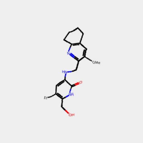 CCc1cc(NCc2nc3c(cc2OC)CCCC3)c(=O)[nH]c1CO